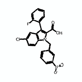 O=C(O)c1c(-c2ccccc2F)c2cc(Cl)ccc2n1Cc1cccc([N+](=O)[O-])c1